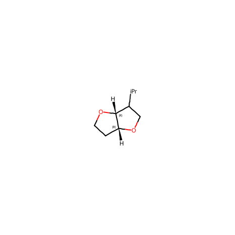 CC(C)C1CO[C@@H]2CCO[C@H]12